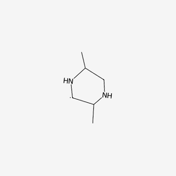 CC1[CH]NC(C)CN1